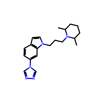 CC1CCCC(C)N1CCCn1ccc2ccc(-n3cnnc3)cc21